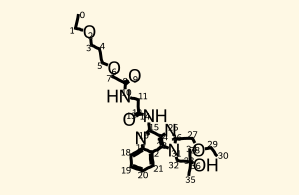 CCOCCCOCC(=O)NCC(=O)Nc1nc2ccccc2c2c1nc(COCC)n2CC(C)(C)O